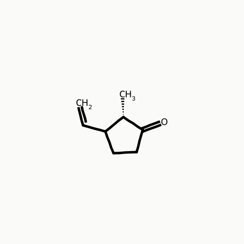 C=CC1CCC(=O)[C@H]1C